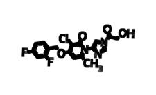 Cc1cc(OCc2ccc(F)cc2F)c(Cl)c(=O)n1-c1cn(C(=O)CO)cn1